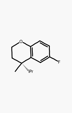 CC(C)[C@]1(C)CCOc2ccc(F)cc21